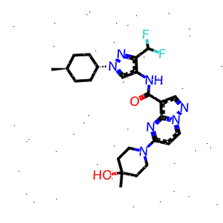 CC1(O)CCN(c2ccn3ncc(C(=O)Nc4cn([C@H]5CC[C@H](C)CC5)nc4C(F)F)c3n2)CC1